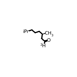 [2H]C(=O)C[C@H](C)CCCC(C)C